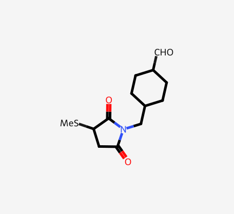 CSC1CC(=O)N(CC2CCC(C=O)CC2)C1=O